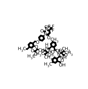 CCc1ccc(COc2ccc(-n3c(=O)cc(C(F)(F)F)n(C)c3=O)cc2)c(OC(C)C(=O)OC)c1.Cc1ccc(C(=O)O)c(C2=NC(C)(C(C)C)C(=O)N2)c1.Cc1ccc(C2=NC(C)(C(C)C)C(=O)N2)c(C(=O)O)c1